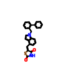 O=C1NC(=O)C(=Cc2cccc3c2ccn3Cc2ccccc2-c2ccccc2)S1